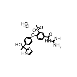 CC(O)(c1ccc(Oc2ccc(C(=O)NC(=N)N)cc2S(C)(=O)=O)cc1)c1ncc[nH]1.Cl.Cl